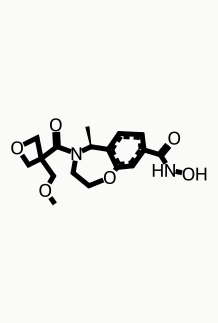 COCC1(C(=O)N2CCOc3cc(C(=O)NO)ccc3[C@@H]2C)COC1